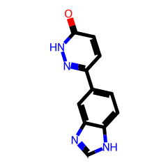 O=c1ccc(-c2ccc3[nH][c]nc3c2)n[nH]1